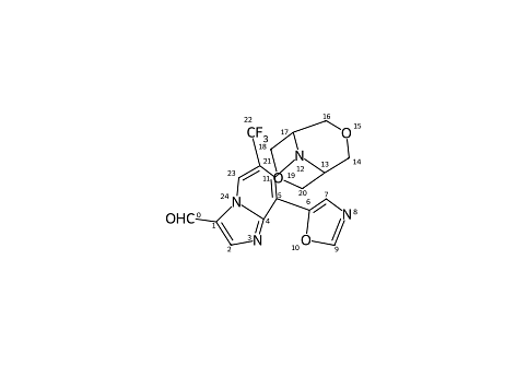 O=Cc1cnc2c(-c3cnco3)c(N3C4COCC3COC4)c(C(F)(F)F)cn12